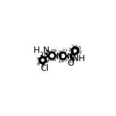 NCC1(c2cccc(Cl)c2)CCC(N2CCC(n3c(=O)[nH]c4ccccc43)CC2)CC1